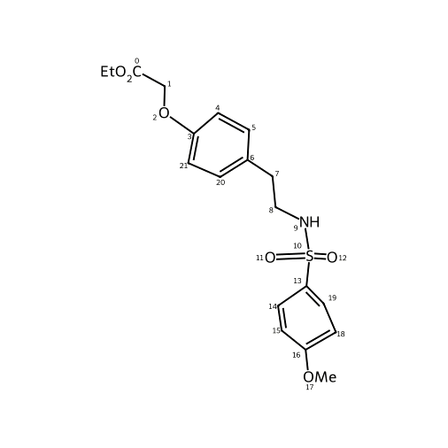 CCOC(=O)COc1ccc(CCNS(=O)(=O)c2ccc(OC)cc2)cc1